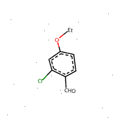 [CH2]COc1ccc(C=O)c(Cl)c1